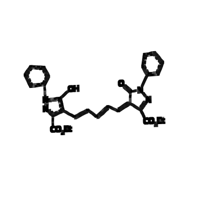 CCOC(=O)C1=NN(c2ccccc2)C(=O)\C1=C/C=C/C=C/c1c(C(=O)OCC)nn(-c2ccccc2)c1O